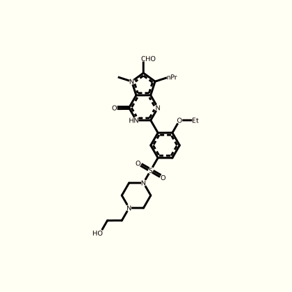 CCCc1c(C=O)n(C)c2c(=O)[nH]c(-c3cc(S(=O)(=O)N4CCN(CCO)CC4)ccc3OCC)nc12